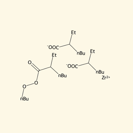 CCCCC(CC)C(=O)[O-].CCCCC(CC)C(=O)[O-].CCCCOOC(=O)C(CC)CCCC.[Zr+2]